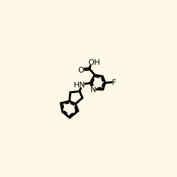 O=C(O)c1cc(F)cnc1NC1Cc2ccccc2C1